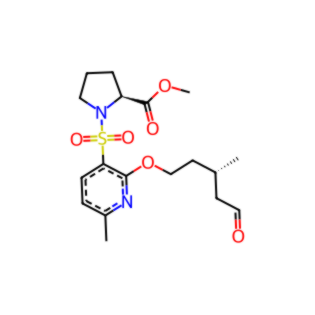 COC(=O)[C@@H]1CCCN1S(=O)(=O)c1ccc(C)nc1OCC[C@H](C)CC=O